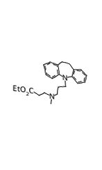 CCOC(=O)CCN(C)CCCN1c2ccccc2CCc2ccccc21